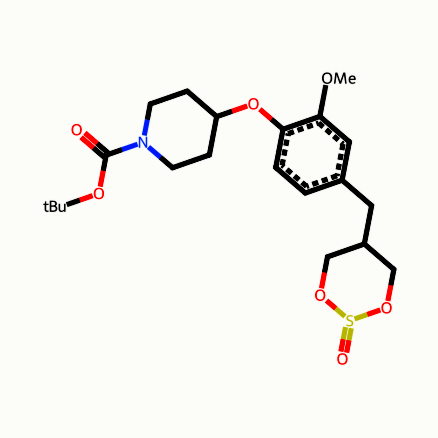 COc1cc(CC2COS(=O)OC2)ccc1OC1CCN(C(=O)OC(C)(C)C)CC1